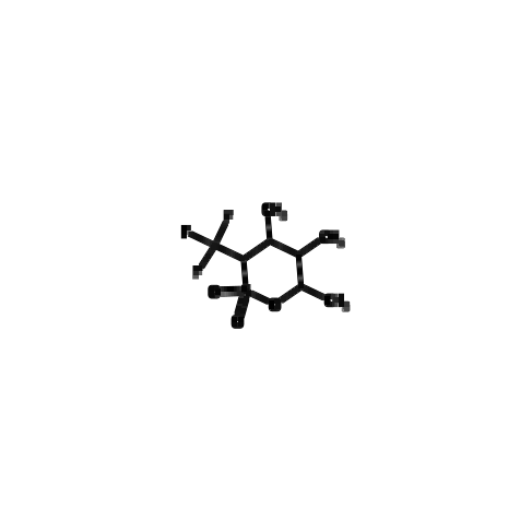 CC1OS(=O)(=O)C(C(F)(F)F)C(C)C1C